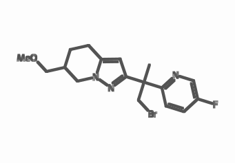 COCC1CCc2cc(C(C)(CBr)c3ccc(F)cn3)nn2C1